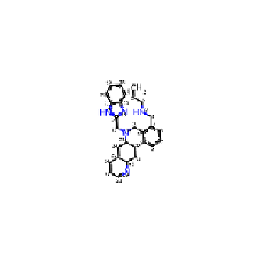 C=CCNCc1ccccc1CN(Cc1nc2ccccc2[nH]1)C1C=C2C=CC=NC2CC1